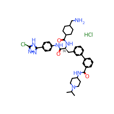 CC(C)N1CCC(NC(=O)c2cccc(-c3cccc(C[C@H](NC(=O)C4CCC(CN)CC4)C(=O)Nc4ccc(-c5nnc(Cl)[nH]5)cc4)c3)c2)CC1.Cl